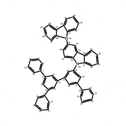 c1ccc(-c2cc(-c3ccccc3)cc(-c3cc(-c4ccccc4)cc(-n4c5ccccc5c5cc(-n6c7ccccc7c7ccccc76)ccc54)c3)c2)cc1